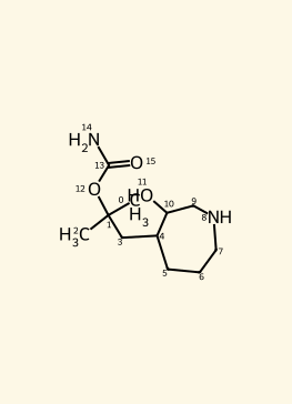 CC(C)(CC1CCCNCC1O)OC(N)=O